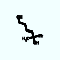 CC(C)C(C)(O)C=CCCO